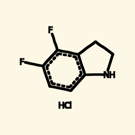 Cl.Fc1ccc2c(c1F)CCN2